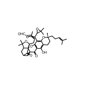 CC(C)=CCC[C@]1(C)CCc2c(O)c3c(c(C(O)C4OC4(C)C)c2O1)O[C@]12C(=CC4CC1C(C)(C)OC2(C/C=C(/C)OC=O)C4=O)C3=O